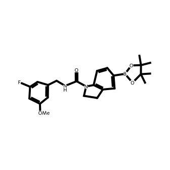 COc1cc(F)cc(CNC(=O)N2CCc3cc(B4OC(C)(C)C(C)(C)O4)ccc32)c1